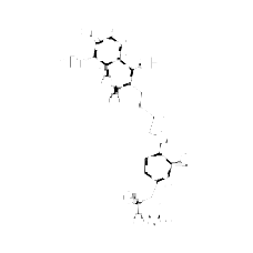 CCCc1c(O)ccc2c(C(F)(F)F)c(CCCCOc3ccc(CC(=O)OC)cc3Cl)c(=O)oc12